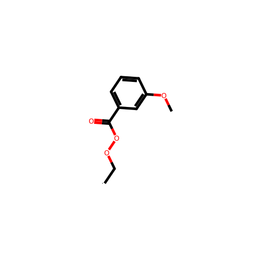 [CH2]COOC(=O)c1cccc(OC)c1